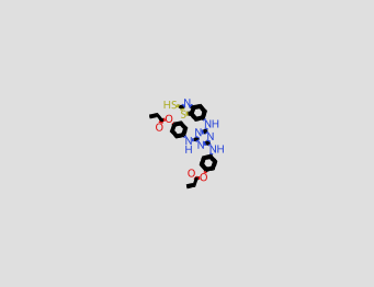 C=CC(=O)Oc1ccc(Nc2nc(Nc3ccc(OC(=O)C=C)cc3)nc(Nc3ccc4nc(S)sc4c3)n2)cc1